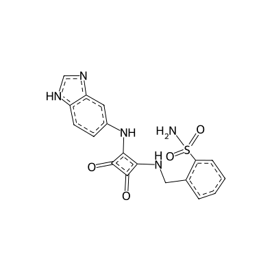 NS(=O)(=O)c1ccccc1CNc1c(Nc2ccc3[nH]cnc3c2)c(=O)c1=O